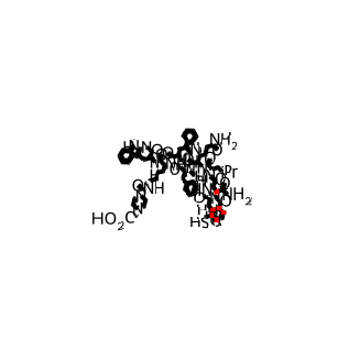 CC(C)CC(NC(=O)C(CC(N)=O)NC(=O)C(Cc1cccnc1)N(C)C(=O)C(C)NC(=O)CS)C(=O)NC(CCCC(N)=O)C(=O)N(C)C(Cc1ccccc1)C(=O)NC(Cc1cn(C)c2ccccc12)C(=O)NC(CCCCNC(=O)N1CCN(CC(=O)O)CC1)C(=O)NC(Cc1cn(C)c2ccccc12)C(N)=O